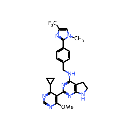 COc1ncnc(C2CC2)c1-c1nc2c(c(NCc3ccc(-c4nc(C(F)(F)F)cn4C)cc3)n1)CCN2